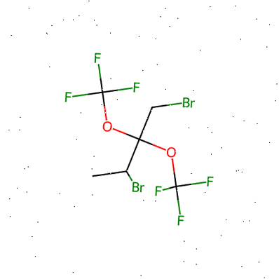 CC(Br)C(CBr)(OC(F)(F)F)OC(F)(F)F